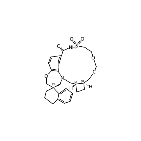 O=C1NS(=O)(=O)CCOCCC[C@H]2CC[C@@H]2CN2C[C@@]3(CCCc4ccccc43)COc3ccc1cc32